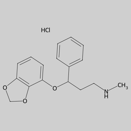 CNCCC(Oc1cccc2c1OCO2)c1ccccc1.Cl